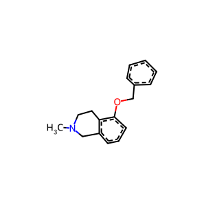 CN1CCc2c(cccc2OCc2ccccc2)C1